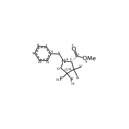 COC(=O)[C@H]1N(Cc2ccccc2)CC(F)(F)C1(C)C